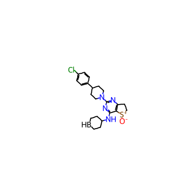 [O-][S+]1CCc2nc(N3CCC(c4ccc(Cl)cc4)CC3)nc(NC3CCBCC3)c21